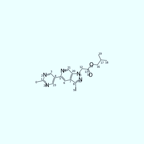 Cc1ncc(-c2cc3c(I)nn(CC(=O)OCC(C)C)c3cn2)cn1